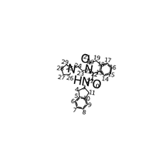 O=C(NC1Cc2ccccc2C1)C1c2ccccc2CC(=O)N1CCN1CCCC1